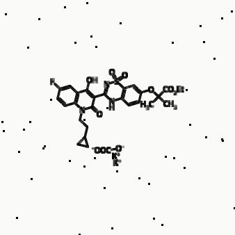 CCOC(=O)C(C)(C)Oc1ccc2c(c1)S(=O)(=O)N=C(c1c(O)c3cc(F)ccc3n(CCC3CC3)c1=O)N2.O=C([O-])[O-].[K+].[K+]